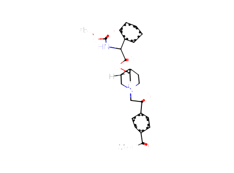 COC(=O)c1ccc(C(=O)C[N+]23CCC(CC2)[C@@H](OC(=O)C(NC(=O)OC(C)(C)C)c2ccccc2)C3)cc1